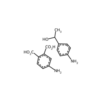 CC(O)c1ccc(N)cc1.Nc1ccc(C(=O)O)c(C(=O)O)c1